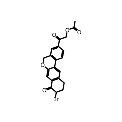 CC(=O)OCC(=O)c1ccc2c(c1)COc1cc3c(cc1-2)CCC(Br)C3=O